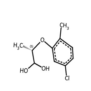 Cc1ccc(Cl)cc1O[C@@H](C)C(O)O